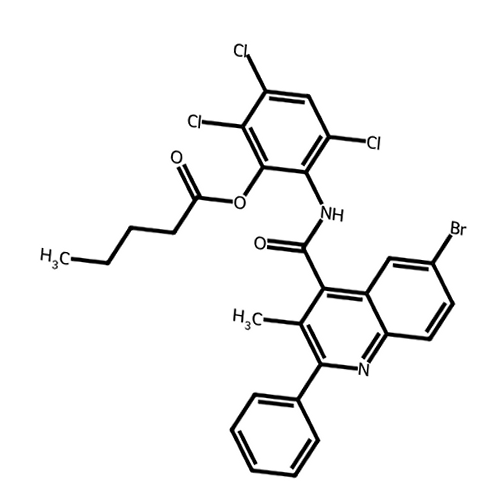 CCCCC(=O)Oc1c(Cl)c(Cl)cc(Cl)c1NC(=O)c1c(C)c(-c2ccccc2)nc2ccc(Br)cc12